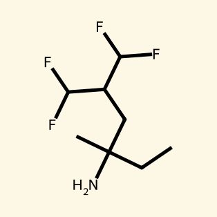 CCC(C)(N)CC(C(F)F)C(F)F